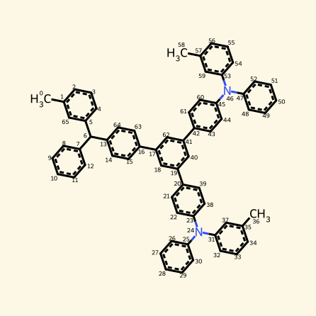 Cc1cccc(C(c2ccccc2)c2ccc(-c3cc(-c4ccc(N(c5ccccc5)c5cccc(C)c5)cc4)cc(-c4ccc(N(c5ccccc5)c5cccc(C)c5)cc4)c3)cc2)c1